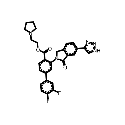 O=C(OCCN1CCCC1)c1ccc(-c2ccc(F)c(F)c2)cc1N1Cc2ccc(-c3c[nH]nn3)cc2C1=O